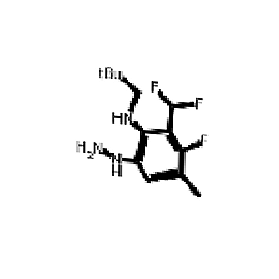 Cc1cc(NN)c(NCC(C)(C)C)c(C(F)F)c1F